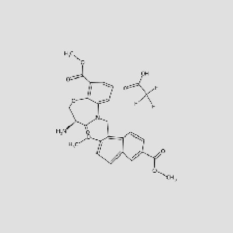 COC(=O)c1ccc2c(CN3C(=O)[C@@H](N)COc4c(C(=O)OC)cccc43)c(OC)ccc2c1.O=C(O)C(F)(F)F